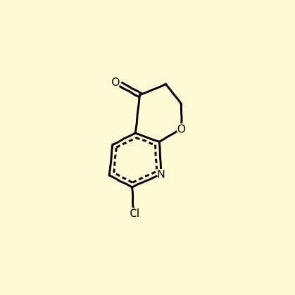 O=C1CCOc2nc(Cl)ccc21